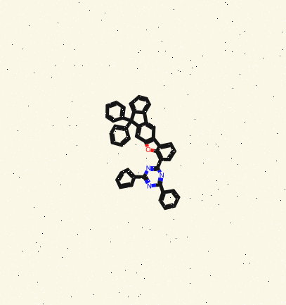 c1ccc(-c2nc(-c3ccccc3)nc(-c3cccc4c3oc3cc5c(cc34)-c3ccccc3C5(c3ccccc3)c3ccccc3)n2)cc1